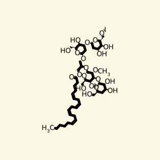 CCCCC/C=C\C/C=C\C/C=C\C/C=C\CCCC(=O)OCC(CO[C@H]1C[C@@H](O[C@H]2C[C@@H](O)[C@H](O)[C@@H](COI)O2)[C@H](O)[C@@H](CO)O1)O[C@@H]1O[C@H](CO)[C@@H](O)[C@H](O[C@@H]2O[C@H](CO)C[C@H](O)[C@H]2O)[C@H]1OC